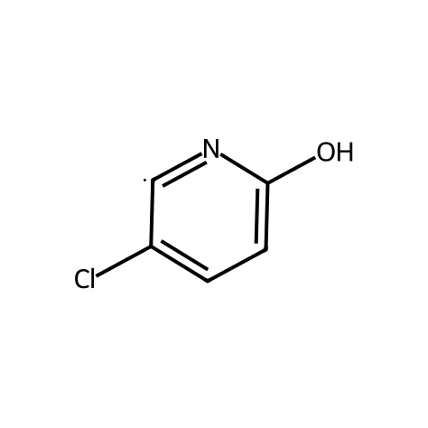 Oc1ccc(Cl)[c]n1